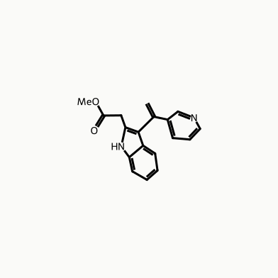 C=C(c1cccnc1)c1c(CC(=O)OC)[nH]c2ccccc12